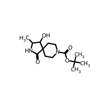 CC1NC(=O)C2(CCN(C(=O)OC(C)(C)C)CC2)C1O